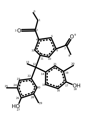 CCC(=O)c1cc(C(C)=O)cc(C(C)(c2ccc(O)c(C)c2)c2cc(C)c(O)c(C)c2)c1